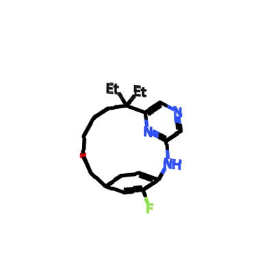 CCC1(CC)CCC2CC(C2)C2C=C(F)C(=CC2)Nc2cncc1n2